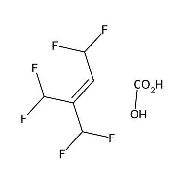 FC(F)C=C(C(F)F)C(F)F.O=C(O)O